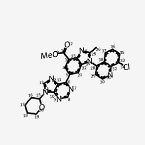 COC(=O)c1cc(-c2ncnc3c2ncn3C2CCCCO2)cc2c1nc(C)n2-c1ccnc2c(Cl)cccc12